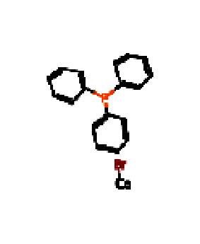 [Co][Br].c1ccc(P(c2ccccc2)c2ccccc2)cc1